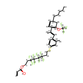 C=CC(=O)OCCC(F)(F)C(F)(F)C(F)(F)C(F)(F)CCSc1ccc(/C=C(\C)C2=C(OC(F)(F)F)CC(CCCCC)C=C2)c(C)c1